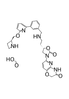 O=C1COc2ccc(N3C[C@H](CCNCc4cccc(-c5cccc(OC[C@@H]6CCN6)n5)c4)OC3=O)nc2N1.O=CO